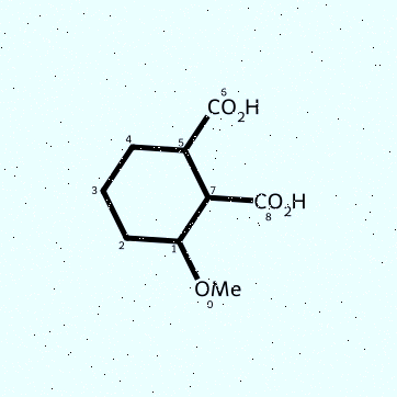 COC1CCCC(C(=O)O)C1C(=O)O